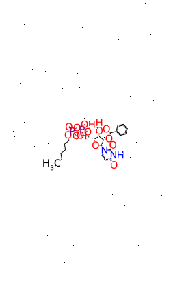 CCCCCCOP(=O)(O)OP(=O)(O)OC[C@H]1O[C@@H](n2ccc(=O)[nH]c2=O)C(OC(=O)c2ccccc2)[C@H]1O